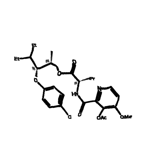 CCC(CC)[C@@H](Oc1ccc(Cl)cc1)[C@H](C)OC(=O)[C@@H](NC(=O)c1nccc(OC)c1OC(C)=O)C(C)C